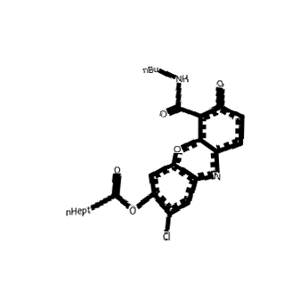 CCCCCCCC(=O)Oc1cc2oc3c(C(=O)NCCCC)c(=O)ccc-3nc2cc1Cl